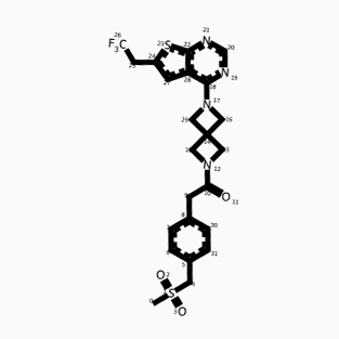 CS(=O)(=O)Cc1ccc(CC(=O)N2CC3(C2)CN(c2ncnc4sc(CC(F)(F)F)cc24)C3)cc1